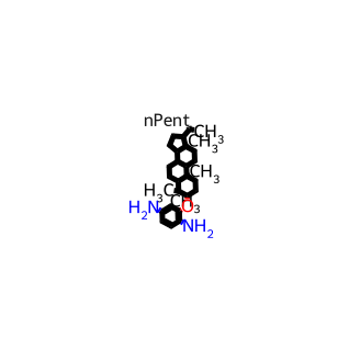 CCCCCC(C)C1CCC2C3CCC4C(C)(C)C(Oc5cc(N)ccc5N)CCC4(C)C3CCC12C